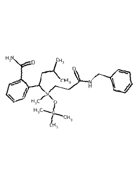 CC(C)CC(c1ccccc1C(N)=O)[Si](C)(CCC(=O)NCc1ccccc1)O[Si](C)(C)C